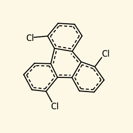 Clc1cccc2c1c1cccc(Cl)c1c1cccc(Cl)c21